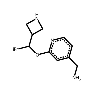 CC(C)C(Oc1cc(CN)ccn1)C1CNC1